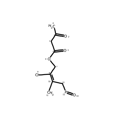 CC(=O)CC(=O)OCC(Cl)=C(C)CP=O